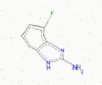 Nc1nc2c(F)cccc2[nH]1